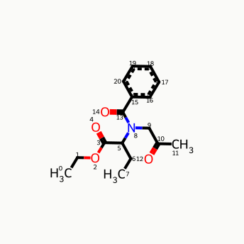 CCOC(=O)C(CC)N(CC(C)=O)C(=O)c1ccccc1